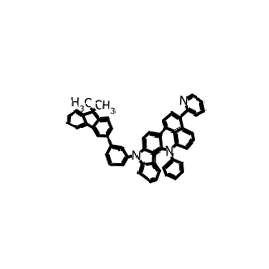 CC1(C)c2ccccc2-c2cc(-c3cccc(-n4c5ccccc5c5c6c(ccc54)-c4ccc(-c5ccccn5)c5cccc(c45)N6c4ccccc4)c3)ccc21